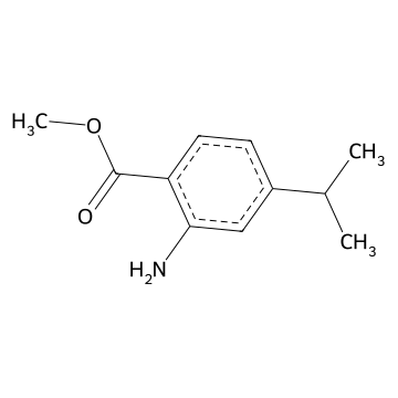 COC(=O)c1ccc(C(C)C)cc1N